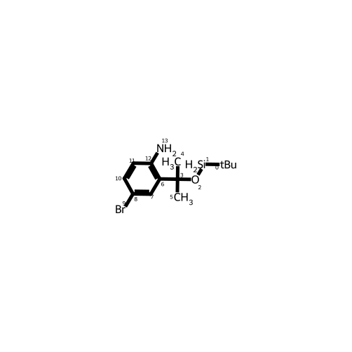 CC(C)(C)[SiH2]OC(C)(C)c1cc(Br)ccc1N